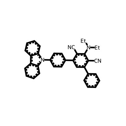 CCN(CC)c1c(C#N)c(-c2ccccc2)cc(-c2ccc(-n3c4ccccc4c4ccccc43)cc2)c1C#N